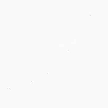 CS(=O)(=O)N(Cc1ccc2ccc(C#N)cc2c1)c1ccc(N2CCCN(c3ccncc3)CC2)cc1